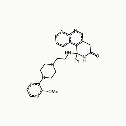 COc1ccccc1N1CCN(CCNC2(C(C)C)NC(=O)Cc3cnc4ncccc4c32)CC1